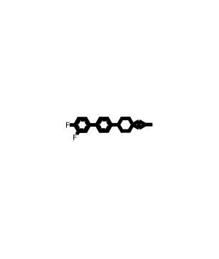 CC1C2C1C21CCC(c2ccc(-c3ccc(F)c(F)c3)cc2)CC1